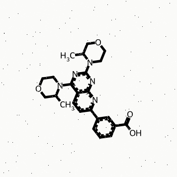 CC1COCCN1c1nc(N2CCOCC2C)c2ccc(-c3cccc(C(=O)O)c3)nc2n1